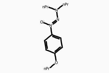 CCCOc1ccc([N+]([O-])=NN(CCC)CCC)cc1